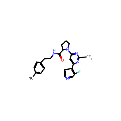 N#Cc1ccc(CCNC(=O)C2CCCN2c2cc(-c3ccncc3F)nc(C(F)(F)F)n2)cc1